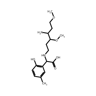 COCCC(N)C(CCNC(C(=O)O)c1cc(C)ccc1O)OC